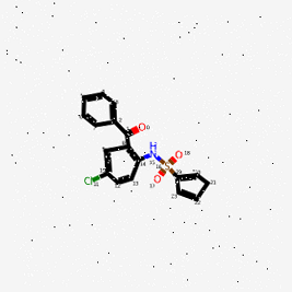 O=C(c1ccccc1)c1cc(Cl)ccc1NS(=O)(=O)C1=CCC=C1